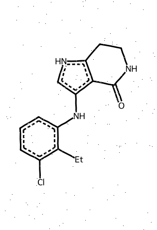 CCc1c(Cl)cccc1Nc1c[nH]c2c1C(=O)NCC2